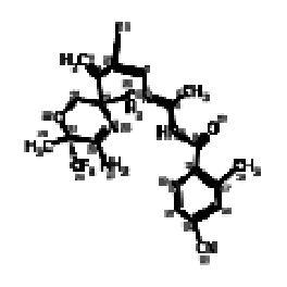 C=C(/C(F)=C\N=C(/C)NC(=O)c1ncc(C#N)cc1C)[C@@]1(C)CO[C@@](C)(C(F)(F)F)C(N)=N1